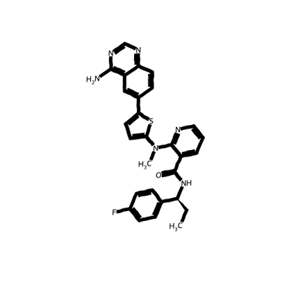 CC[C@H](NC(=O)c1cccnc1N(C)c1ccc(-c2ccc3ncnc(N)c3c2)s1)c1ccc(F)cc1